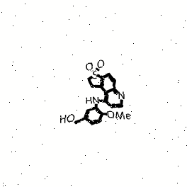 COc1ccc(CO)cc1Nc1ccnc2ccc3c(c12)CCS3(=O)=O